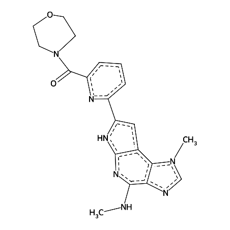 CNc1nc2[nH]c(-c3cccc(C(=O)N4CCOCC4)n3)cc2c2c1ncn2C